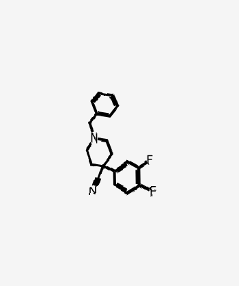 N#CC1(c2ccc(F)c(F)c2)CCN(Cc2ccccc2)CC1